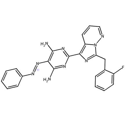 Nc1nc(-c2nc(Cc3ccccc3F)n3ncccc23)nc(N)c1/N=N/c1ccccc1